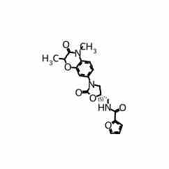 CC1Oc2cc(N3C[C@H](CNC(=O)c4ccco4)OC3=O)ccc2N(C)C1=O